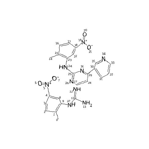 Cc1ccc([N+](=O)[O-])cc1NC(=N)N.Cc1ccc([N+](=O)[O-])cc1Nc1nccc(-c2cccnc2)n1